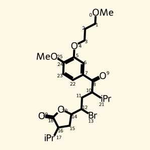 COCCCOc1cc(C(=O)C(CC(Br)C2CC(C(C)C)C(=O)O2)C(C)C)ccc1OC